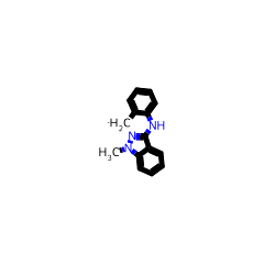 [CH2]c1ccccc1Nc1nn(C)c2ccccc12